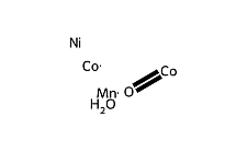 O.[Co].[Mn].[Ni].[O]=[Co]